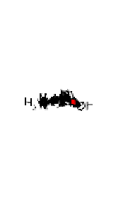 C[C@@](c1ccc(-c2cnc(N)nc2)cc1)(c1noc(N2CCC(O)CC2)n1)C1CC1